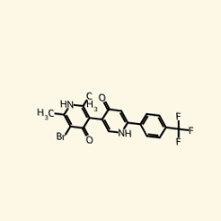 Cc1[nH]c(C)c(-c2c[nH]c(-c3ccc(C(F)(F)F)cc3)cc2=O)c(=O)c1Br